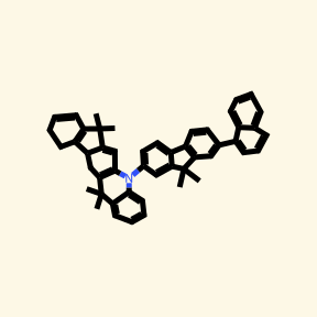 CC1(C)C2=CC3=C(CC2C2=C1C=CCC2)C(C)(C)c1ccccc1N3c1ccc2c(c1)C(C)(C)c1cc(-c3cccc4ccccc34)ccc1-2